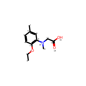 CCOc1ccc(C)cc1N(C)CC(=O)O